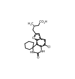 CN(CC(=O)O)Cc1cc2cc(Cl)c3c(c2o1)C1(CCCCC1)NC(=O)N3